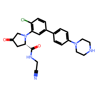 N#CCNC(=O)[C@@H]1CC(=O)CN1c1cc(-c2ccc(N3CCNCC3)cc2)ccc1Cl